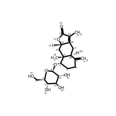 C=C1CC[C@H](O[C@@H]2O[C@H](CO)[C@@H](O)[C@H](O)[C@H]2O)[C@]2(C)C[C@@H]3OC(=O)C(C)=C3C[C@@H]12